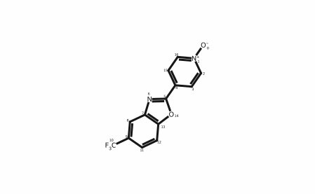 [O-][n+]1ccc(-c2nc3cc(C(F)(F)F)ccc3o2)cc1